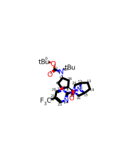 CC(C)(C)OC(=O)N([C@H]1CC[C@H](C(=O)N2C3CCC2CN(c2ncc(C(F)(F)F)cn2)C3)C1)C(C)(C)C